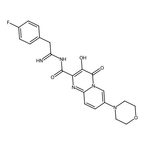 N=C(Cc1ccc(F)cc1)NC(=O)c1nc2ccc(N3CCOCC3)cn2c(=O)c1O